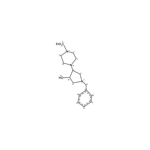 CCOC(=O)N1CCN(C2CN(Cc3ccccc3)CC2O)CC1